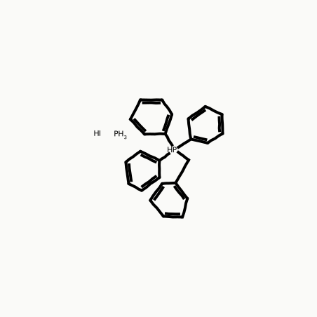 I.P.c1ccc(C[PH](c2ccccc2)(c2ccccc2)c2ccccc2)cc1